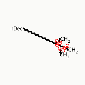 C=CC(=O)OCC(COC(CCCCCCCCCCCCCCCCCCCCCCCCCCCC)OC(=O)C=C)OC(=O)C=C